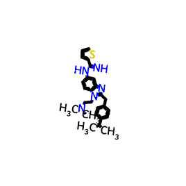 CC(C)c1ccc(Cc2nc3cc(NC(=N)c4cccs4)ccc3n2CCN(C)C)cc1